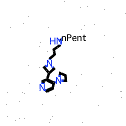 CCCCCNCCCCN1CC(c2cnccc2N2CCC2)C1